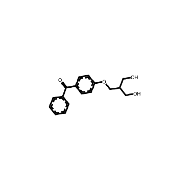 O=C(c1ccccc1)c1ccc(OCC(CO)CO)cc1